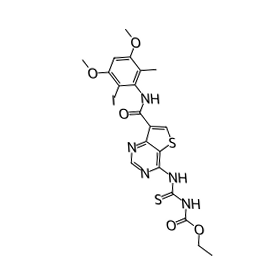 CCOC(=O)NC(=S)Nc1ncnc2c(C(=O)Nc3c(C)c(OC)cc(OC)c3I)csc12